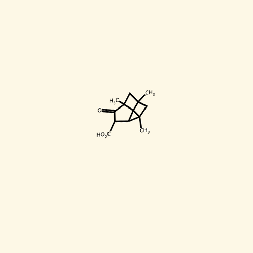 CC12CC3(C)C(=O)C(C(=O)O)C4C(C)(C1)C423